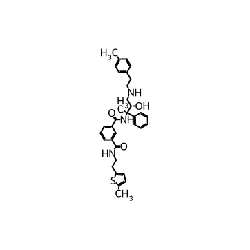 Cc1ccc(CCNC[C@@H](O)[C@@](C)(NC(=O)c2cccc(C(=O)NCCc3ccc(C)s3)c2)c2ccccc2)cc1